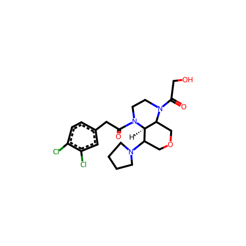 O=C(CO)N1CCN(C(=O)Cc2ccc(Cl)c(Cl)c2)[C@@H]2C(N3CCCC3)COCC21